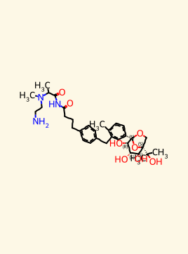 Cc1ccc([C@]23OC[C@](C(C)(C)O)(O2)[C@@H](O)[C@H](O)[C@H]3O)cc1Cc1ccc(CCCC(=O)NC(=O)C(C)N(C)CCN)cc1